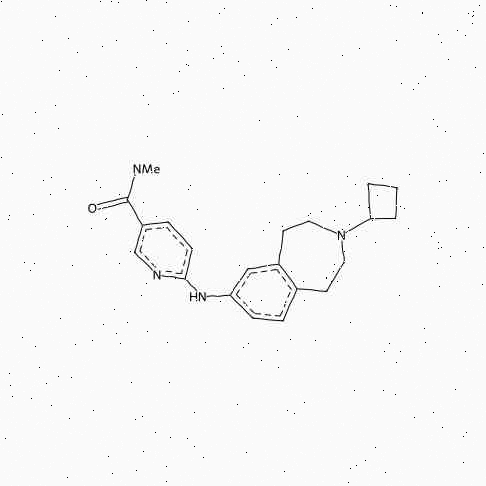 CNC(=O)c1ccc(Nc2ccc3c(c2)CCN(C2CCC2)CC3)nc1